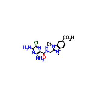 CCn1c(CNC(=O)c2nc(Cl)c(N)nc2N)[n+](C)c2ccc(C(=O)O)cc21